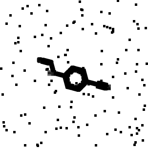 N#Cc1ccc(N[C]=O)cc1